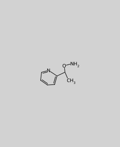 CC(ON)c1ccccn1